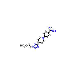 N=C(N)c1ccc(N2CCC(c3nnn(CCC(=O)O)n3)CC2)cc1